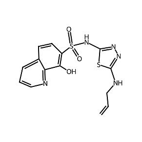 C=CCNc1nnc(NS(=O)(=O)c2ccc3cccnc3c2O)s1